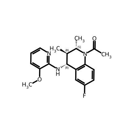 COc1cccnc1N[C@H]1c2cc(F)ccc2N(C(C)=O)[C@@H](C)[C@@H]1C